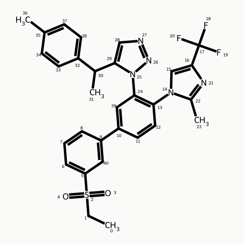 CCS(=O)(=O)c1cccc(-c2ccc(-n3cc(C(F)(F)F)nc3C)c(-n3nncc3C(C)c3ccc(C)cc3)c2)c1